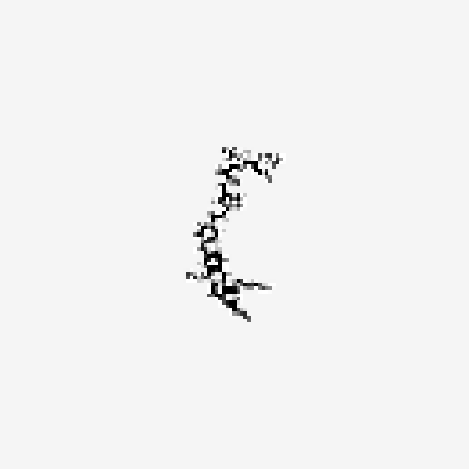 CCCCCNc1nc(N)nc2ccn(Cc3ccc(CN4CCN(CCN5C=C(CNC(=O)[C@H](CC(=O)O)SC[C@H](N)C(=O)O)NN5)CC4)cc3OC)c12